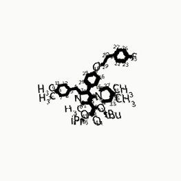 Cc1nc(CC2CCC(C)(C)CC2)c(-c2ccc(OCCc3ccc(F)cc3)cc2)c(N2CCC(C)(C)CC2)c1C(OC(C)(C)C)C(=O)OC(C)C